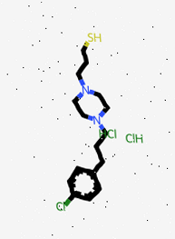 Cl.Cl.SCCCN1CCN(CCCc2ccc(Cl)cc2)CC1